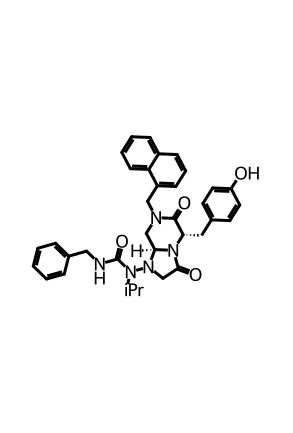 CC(C)N(C(=O)NCc1ccccc1)N1CC(=O)N2[C@@H](Cc3ccc(O)cc3)C(=O)N(Cc3cccc4ccccc34)C[C@@H]21